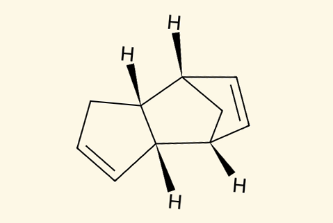 C1=C[C@@H]2[C@H](C1)[C@@H]1C=C[C@H]2C1